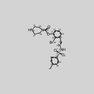 Cc1ccc(S(=O)(=O)N/N=C/c2cccc(OC(=O)N3CCNCC3)c2Br)cc1